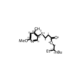 CCCCC(CC)COC(=O)CCSc1cnc(OC)cc1C